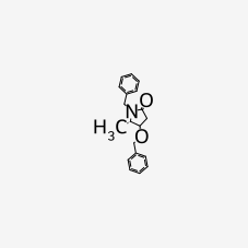 C[C@H]1[C@H](OCc2ccccc2)CC(=O)N1Cc1ccccc1